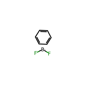 F[B]F.c1ccccc1